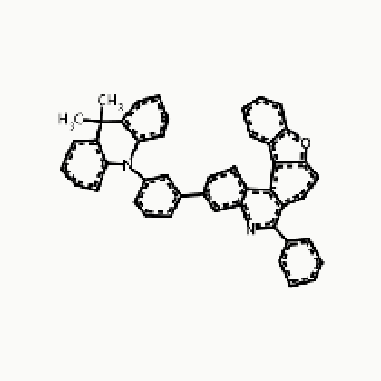 CC1(C)c2ccccc2N(c2cccc(-c3ccc4c(c3)nc(-c3ccccc3)c3ccc5oc6ccccc6c5c34)c2)c2ccccc21